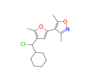 Cc1noc(C)c1-c1cc(C(Cl)C2CCCCC2)c(C)o1